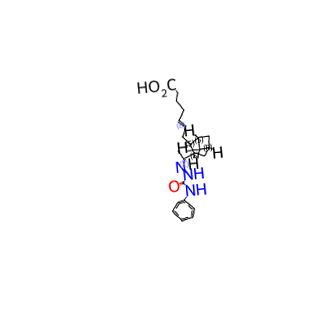 C/C(=N/NC(=O)Nc1ccccc1)[C@H]1C[C@H]2C[C@@H]([C@@H]1C/C=C/CCCC(=O)O)C2(C)C